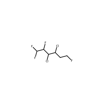 FCCC(Cl)C(Cl)C(F)C(F)F